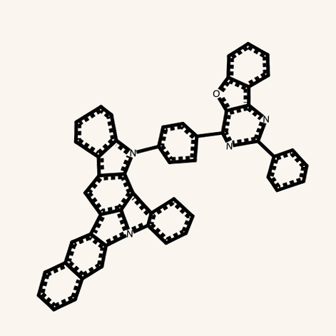 c1ccc(-c2nc(-c3ccc(-n4c5ccccc5c5cc6c7cc8ccccc8cc7n7c8ccccc8c(c54)c67)cc3)c3oc4ccccc4c3n2)cc1